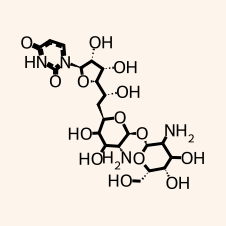 NC1C(O)[C@H](O)[C@H](CO)O[C@@H]1O[C@@H]1O[C@H](C[C@@H](O)[C@@H]2O[C@@H](n3ccc(=O)[nH]c3=O)[C@H](O)[C@@H]2O)C(O)C(O)[C@H]1N